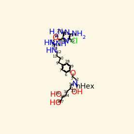 CCCCCCN(CCOc1ccc(CCCCNC(=N)NC(=O)c2nc(Cl)c(N)nc2N)cc1)C[C@H](O)CC[C@H](O)CO